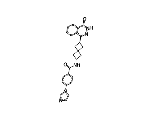 O=C(N[C@H]1CC2(C1)C[C@H](c1n[nH]c(=O)c3ccccc31)C2)c1ccc(-n2ccnc2)cc1